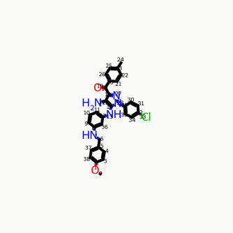 COc1ccc(CNc2cccc(Nc3c(N)c(C(=O)c4ccc(C)cc4)nn3-c3ccc(Cl)cc3)c2)cc1